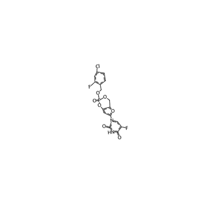 O=c1[nH]c(=O)n(-c2cc3c(o2)COP(=O)(OCc2ccc(Cl)cc2F)O3)cc1F